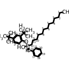 CCCCCCCCCCCCC[PH](O)(Oc1ccccc1)Oc1ccc(C(C)(C)C)cc1C(C)(C)C